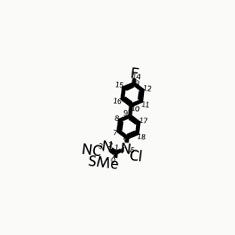 CSC(=NC#N)N(Cl)c1ccc(-c2ccc(F)cc2)cc1